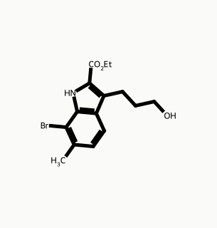 CCOC(=O)c1[nH]c2c(Br)c(C)ccc2c1CCCO